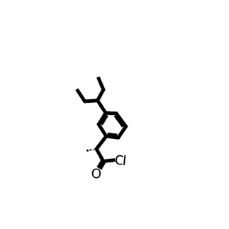 CCC(CC)c1cccc([C@@H](C)C(=O)Cl)c1